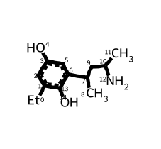 CCc1cc(O)cc(C(C)CC(C)N)c1O